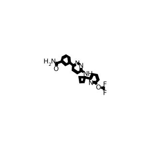 NC(=O)c1cccc(-c2ccc(NC3(c4cccc(OC(F)F)n4)CCC3)nn2)c1